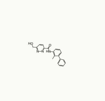 Cc1c(NC(=O)c2ccc(CO)nn2)cccc1-c1ccccc1